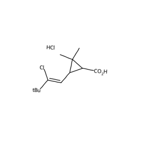 CC(C)(C)C(Cl)=CC1C(C(=O)O)C1(C)C.Cl